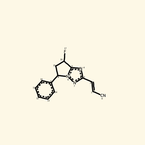 N#CC=Cc1nc2n(n1)C(c1ccccc1)CC2F